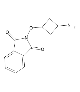 NC1CC(ON2C(=O)c3ccccc3C2=O)C1